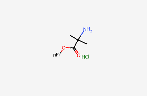 CCCOC(=O)C(C)(C)N.Cl